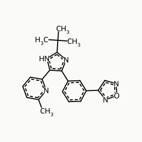 Cc1cccc(-c2[nH]c(C(C)(C)C)nc2-c2cccc(-c3cnon3)c2)n1